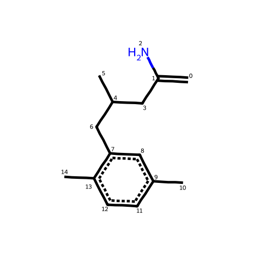 C=C(N)CC(C)Cc1cc(C)ccc1C